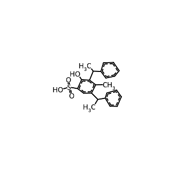 Cc1c(C(C)c2ccccc2)cc(S(=O)(=O)O)c(O)c1C(C)c1ccccc1